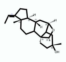 C/C=C1/CC[C@H]2[C@@H]3C[C@H]4O[C@H](C)[C@@]5(CC[C@@](C)(O)CC45)C3CC[C@]12C